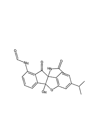 CC(=O)NC12C(=O)c3c(NC=O)cccc3C1(O)Oc1cc(C(C)C)ccc12